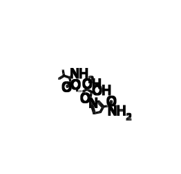 CC(C)[C@H](N)C(=O)OC[C@H]1O[C@@H](N2C=CCC(C(N)=O)=C2)[C@H](O)[C@@H]1O